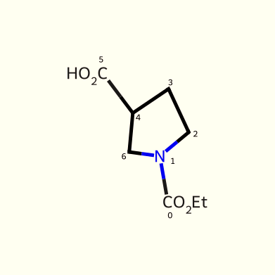 CCOC(=O)N1CCC(C(=O)O)C1